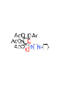 CC(=O)O[C@@H]1O[C@H](C(=O)N2CCN(C3CCCCC3)CC2)[C@@H](OC(C)=O)[C@H](OC(C)=O)[C@H]1OC(C)=O